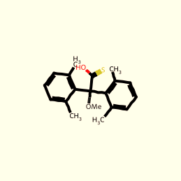 COC(C(O)=S)(c1c(C)cccc1C)c1c(C)cccc1C